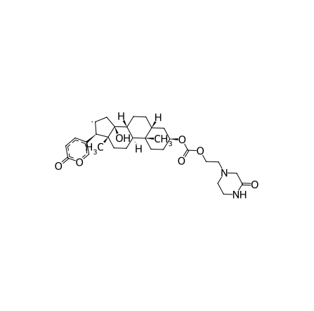 C[C@]12CC[C@H](OC(=O)OCCN3CCNC(=O)C3)C[C@H]1CC[C@@H]1[C@@H]2CC[C@]2(C)[C@@H](c3ccc(=O)oc3)[CH]C[C@]12O